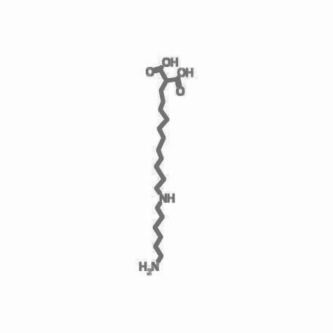 NCCCCCCNCCCCCCCCCCCC(C(=O)O)C(=O)O